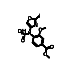 COC(=O)c1ccc(N(c2coc(I)n2)[SH](=O)=O)c(OC)c1